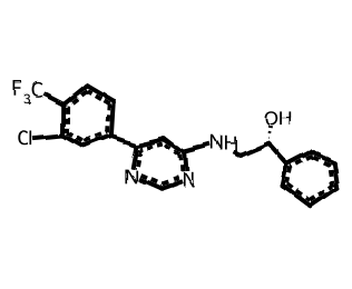 O[C@@H](CNc1cc(-c2ccc(C(F)(F)F)c(Cl)c2)ncn1)c1ccccc1